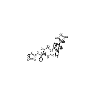 O=C(Cc1ccsc1)N1CCC(c2nc(-c3cccs3)n[nH]2)CC1